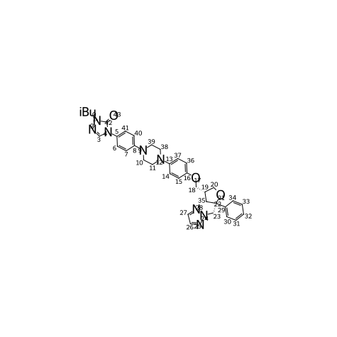 CC[C@H](C)n1ncn(-c2ccc(N3CCN(c4ccc(OC[C@@H]5CO[C@@](Cn6nccn6)(c6ccccc6)C5)cc4)CC3)cc2)c1=O